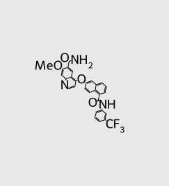 COc1cc2nccc(Oc3ccc4c(C(=O)Nc5cccc(C(F)(F)F)c5)cccc4c3)c2cc1C(N)=O